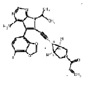 C=CC(=O)N1C[C@@H]2[C@@H](C#Cc3c(-c4ccc(F)c5c4OCO5)c4c(N)ncnc4n3C(C)C)[C@@H]2C1